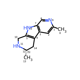 Cc1cc2c3c([nH]c2cn1)CN[C@@H](C)C3